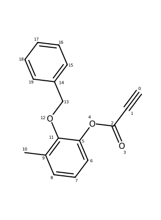 C#CC(=O)Oc1cccc(C)c1OCc1ccccc1